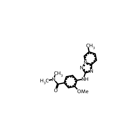 COc1cc(C(=O)N(C)C)ccc1Nc1nc2ccc(C)cn2n1